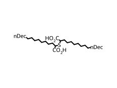 CCCCCCCCCCCCCCCCCCC(SC(CCCCCCCCCCCCCCCCCC)C(=O)O)C(=O)O